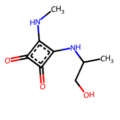 CNc1c(NC(C)CO)c(=O)c1=O